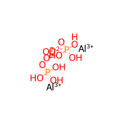 O=P(O)(O)O.O=P(O)(O)O.[Al+3].[Al+3].[O-2].[O-2].[O-2]